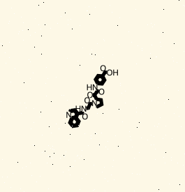 O=C(Nc1ccc(C(=O)O)cc1)C(=O)C1CCCN1C(=O)CNC(=O)c1ccnc2ccccc12